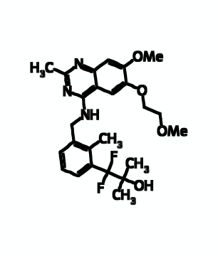 COCCOc1cc2c(NCc3cccc(C(F)(F)C(C)(C)O)c3C)nc(C)nc2cc1OC